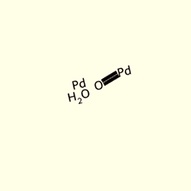 O.[O]=[Pd].[Pd]